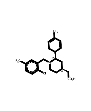 O=C(O)C[C@H]1CCN(Cc2cc(C(F)(F)F)ccc2Cl)[C@@H](C2C=CC(C(F)(F)F)=CC2)C1